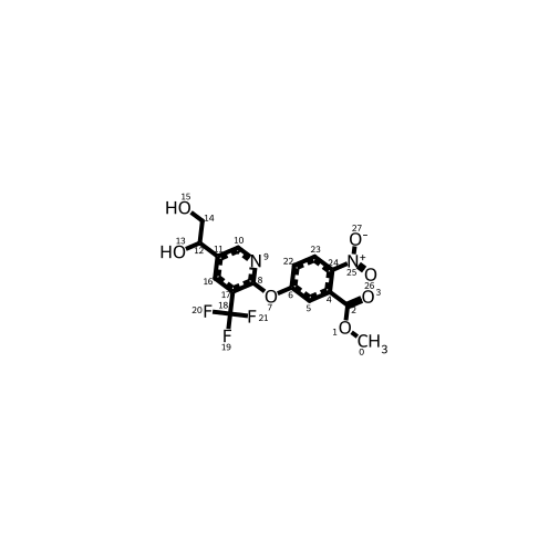 COC(=O)c1cc(Oc2ncc(C(O)CO)cc2C(F)(F)F)ccc1[N+](=O)[O-]